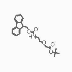 CC(C)(C)OC(=O)COCCNC(=O)OCC1c2ccccc2-c2ccccc21